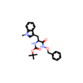 Cn1cc(CC(NC(=O)OC(C)(C)C)C(=O)NOCc2ccccc2)c2ccccc21